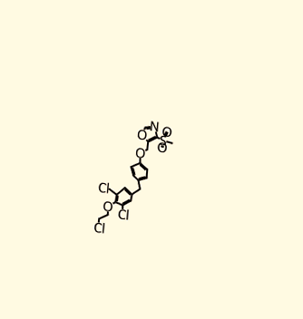 CS(=O)(=O)c1ncoc1COc1ccc(Cc2cc(Cl)c(OCCCl)c(Cl)c2)cc1